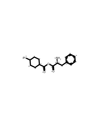 CC(C)C1CCC(C(=O)OC(=O)[C@@H](N)Cc2ccccc2)CC1